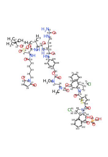 CC(C)[C@H](NC(=O)C(CS(=O)(=O)OCC(C)(C)C)NC(=O)CCCCCN1C(=O)C=CC1=O)C(=O)N[C@@H](CCCNC(N)=O)C(=O)Nc1ccc(COC(=O)N(C)CCN(C)C(=O)Oc2cc3c(c4ccccc24)[C@H](CCl)CN3C(=O)c2ccc(C(=O)N3C[C@@H](CCl)c4c3cc(OP(=O)(O)O)c3ccccc43)s2)cc1